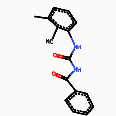 Cc1cccc(NC(=O)NC(=O)c2ccccc2)c1C#N